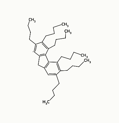 CCCCc1[c]c2c(c(CCCC)c1CCCC)-c1c(cc(CCCC)c(CCCC)c1CCCC)C2